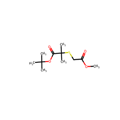 COC(=O)CSC(C)(C)C(=O)OC(C)(C)C